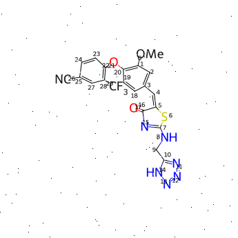 COc1cc(C=C2SC(NCc3nnn[nH]3)=NC2=O)ccc1Oc1ccc(C#N)cc1C(F)(F)F